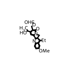 CCc1c2c(nc3ccc(OC)cc13)-c1cc(C(C)O)c(COC=O)c(=O)n1C2